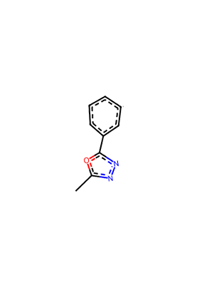 Cc1nnc(-c2c[c]ccc2)o1